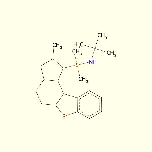 CC1CC2CCC3Sc4ccccc4C3C2C1S(C)(C)NC(C)(C)C